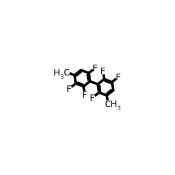 Cc1cc(F)c(-c2c(F)c(C)cc(F)c2F)c(F)c1F